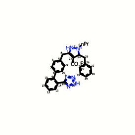 CCCN1NC(Cc2ccc(-c3ccccc3-c3nn[nH]n3)cc2)=C(C(=O)OCC)C1Cc1ccccc1